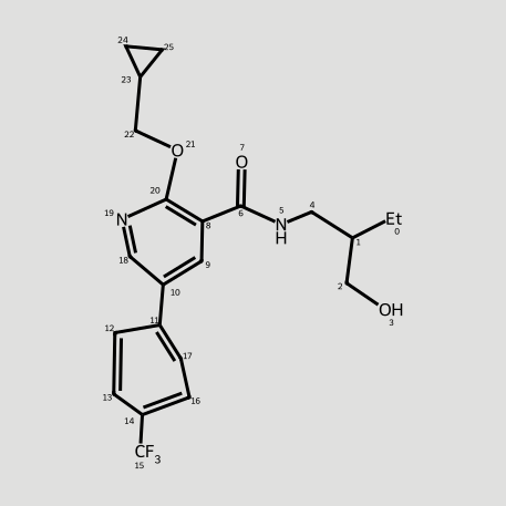 CCC(CO)CNC(=O)c1cc(-c2ccc(C(F)(F)F)cc2)cnc1OCC1CC1